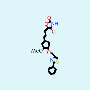 COc1cc(C=CC=C2OC(=O)NC2=O)ccc1OCc1csc(-c2ccccc2)n1